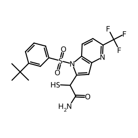 CC(C)(C)c1cccc(S(=O)(=O)n2c(C(S)C(N)=O)cc3nc(C(F)(F)F)ccc32)c1